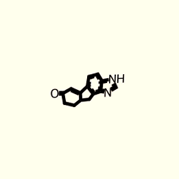 O=C1C=C2c3ccc4[nH]cnc4c3CC2CC1